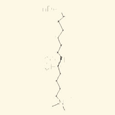 CCCCCCCCCCCCCCCCCCCCCC[N+](C)(C)C.O=C(O)O